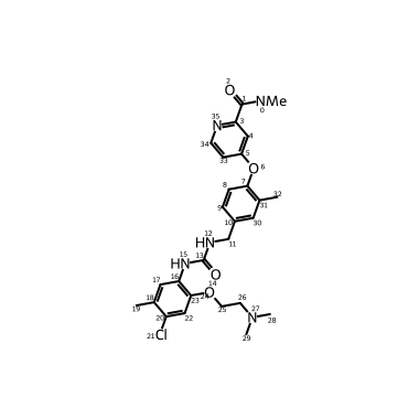 CNC(=O)c1cc(Oc2ccc(CNC(=O)Nc3cc(C)c(Cl)cc3OCCN(C)C)cc2C)ccn1